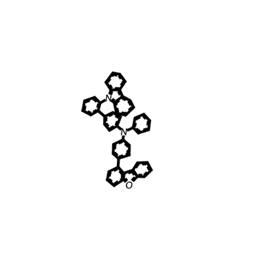 c1ccc(N(c2ccc(-c3ccccc3-n3c4ccccc4c4ccccc43)cc2)c2ccc(-c3cccc4oc5ccccc5c34)cc2)cc1